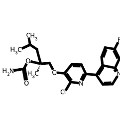 CC(C)C[C@@](C)(COc1ccc(-c2ccnc3cc(F)ccc23)nc1Cl)OC(N)=O